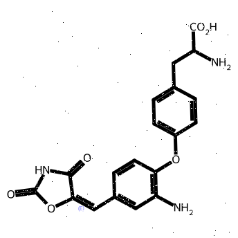 Nc1cc(/C=C2/OC(=O)NC2=O)ccc1Oc1ccc(CC(N)C(=O)O)cc1